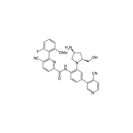 COc1cccc(F)c1-c1nc(C(=O)Nc2ccc(-c3cnccc3C#N)cc2N2C[C@@H](N)C[C@H]2CO)ccc1C#N